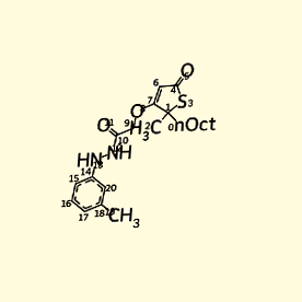 CCCCCCCCC1(C)SC(=O)C=C1OCC(=O)NNc1cccc(C)c1